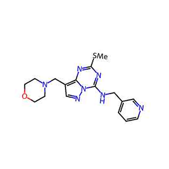 CSc1nc(NCc2cccnc2)n2ncc(CN3CCOCC3)c2n1